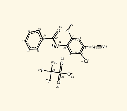 COc1cc([N+]#N)c(Cl)cc1NC(=O)c1ccccc1.O=S(=O)([O-])C(F)(F)F